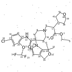 CCOC(=O)C(CN1CCC(C(=O)Nc2ccc(Cl)cc2OC(F)F)(n2ncc3c2C(C)(C)OC3)CC1)C1CCOCC1